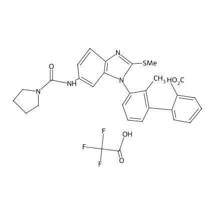 CSc1nc2ccc(NC(=O)N3CCCC3)cc2n1-c1cccc(-c2ccccc2C(=O)O)c1C.O=C(O)C(F)(F)F